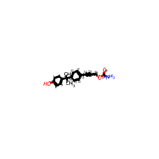 CC(C)(c1ccc(O)cc1)c1ccc(C#CCOC(N)=O)cc1